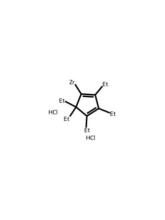 CCC1=[C]([Zr])C(CC)(CC)C(CC)=C1CC.Cl.Cl